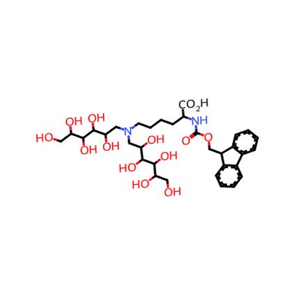 O=C(NC(CCCCN(CC(O)C(O)C(O)C(O)CO)CC(O)C(O)C(O)C(O)CO)C(=O)O)OCC1c2ccccc2-c2ccccc21